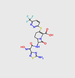 Nc1nc(/C(=N/O)C(=O)N[C@@H]2C(=O)N3C(C(=O)O)=C(Sc4ccc(C(F)(F)F)nn4)CCC23)ns1